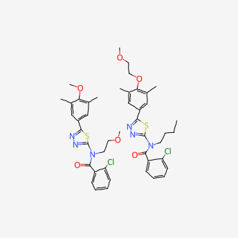 CCCCN(C(=O)c1ccccc1Cl)c1nnc(-c2cc(C)c(OCCOC)c(C)c2)s1.COCCN(C(=O)c1ccccc1Cl)c1nnc(-c2cc(C)c(OC)c(C)c2)s1